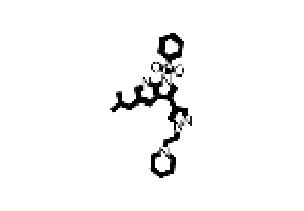 CC(C)Cc1cnc2c(c1)c(-c1cnn(CCN3CCCCC3)c1)cn2S(=O)(=O)c1ccccc1